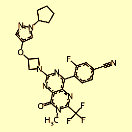 Cn1c(C(F)(F)F)nc2c(-c3ccc(C#N)cc3F)nc(N3CC(Oc4cnn(C5CCCC5)c4)C3)nc2c1=O